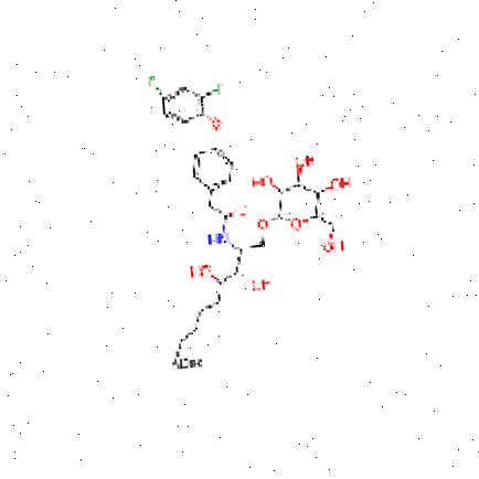 CCCCCCCCCCCCCC[C@@H](O)[C@@H](O)[C@H](CO[C@H]1OC(CO)[C@H](O)[C@H](O)C1O)NC(=O)Cc1ccc(Oc2ccc(F)cc2F)cc1